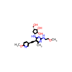 COCCNc1nc(C)c(C#Cc2ccc(OC)nc2)c(N[C@@H]2C[C@H](CO)[C@@H](O)[C@H]2O)n1